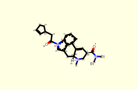 CCN(CC)C(=O)[C@@H]1C=C2c3cccc4c3c(cn4C(=O)CC3C=CCC3)C[C@H]2N(C)C1